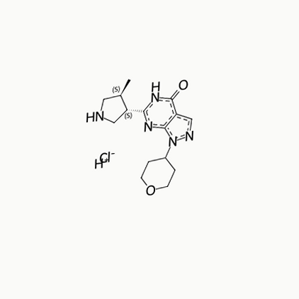 C[C@@H]1CNC[C@H]1c1nc2c(cnn2C2CCOCC2)c(=O)[nH]1.[Cl-].[H+]